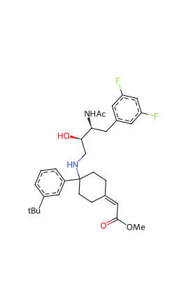 COC(=O)C=C1CCC(NC[C@@H](O)[C@H](Cc2cc(F)cc(F)c2)NC(C)=O)(c2cccc(C(C)(C)C)c2)CC1